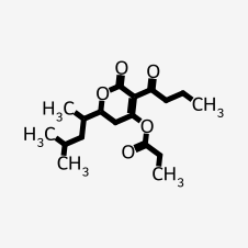 CCCC(=O)C1=C(OC(=O)CC)CC(C(C)CC(C)C)OC1=O